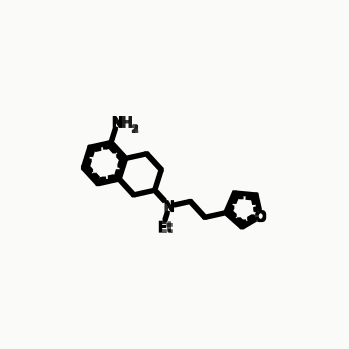 CCN(CCc1ccoc1)C1CCc2c(N)cccc2C1